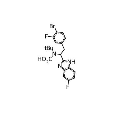 CC(C)(C)N(C(=O)O)C(Cc1ccc(Br)c(F)c1)c1nc2cc(F)ccc2[nH]1